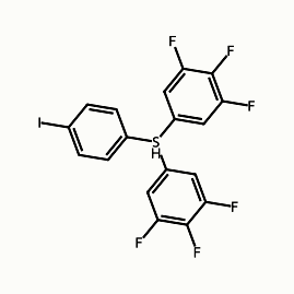 Fc1cc([SH](c2ccc(I)cc2)c2cc(F)c(F)c(F)c2)cc(F)c1F